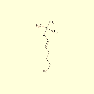 CCCC/C=C/O[Si](C)(C)C